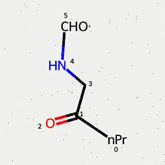 CCCC(=O)CN[C]=O